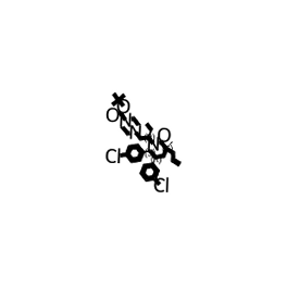 C=CC[C@@]1(C)C[C@H](c2cccc(Cl)c2)[C@@H](c2ccc(Cl)cc2)N([C@H](CC)CN2CCN(C(=O)OC(C)(C)C)CC2)C1=O